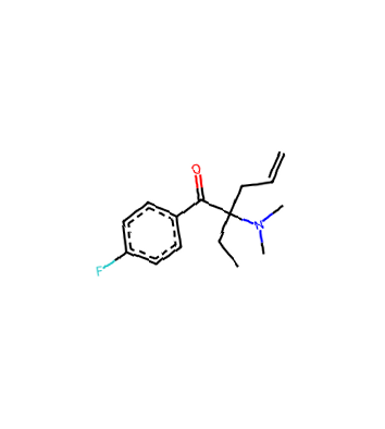 C=CCC(CC)(C(=O)c1ccc(F)cc1)N(C)C